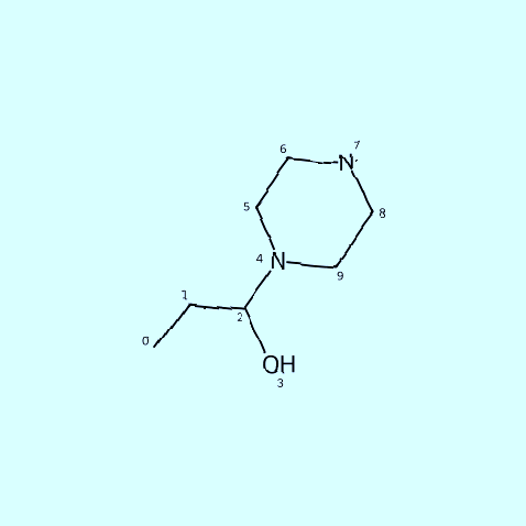 CCC(O)N1CC[N]CC1